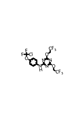 FC(F)(F)COc1nc(Nc2ccc(OC(F)(F)Cl)cc2)nc(OCC(F)(F)F)n1